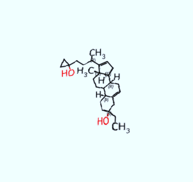 CC[C@]1(O)CC[C@H]2C(=CC[C@@H]3C2CC[C@]2(C)C([C@H](C)CCC4(O)CC4)=CC[C@@H]32)C1